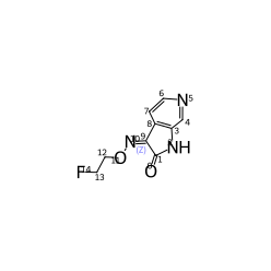 O=C1Nc2cnccc2/C1=N/OCCF